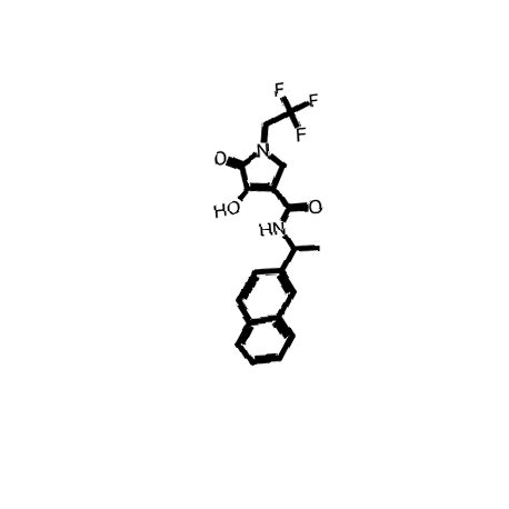 CC(NC(=O)C1=C(O)C(=O)N(CC(F)(F)F)C1)c1ccc2ccccc2c1